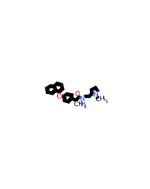 CC(C(=O)NCCC1CCCN1C)c1ccc(Oc2cccc3ccccc23)cc1